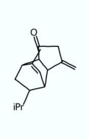 C=C1CC(=O)C2C3CC(C(C)C)C(C=C3C)C12